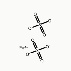 O=S(=O)([O-])[O-].O=S(=O)([O-])[O-].[Pu+4]